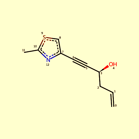 C=CC[C@H](O)C#Cc1csc(C)n1